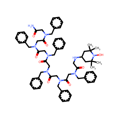 CC1(C)CC(NCC(=O)N(CC(=O)N(CC(=O)N(CC(=O)N(CC(=O)N(CC(=O)N(CC(N)=O)Cc2ccccc2)Cc2ccccc2)Cc2ccccc2)Cc2ccccc2)Cc2ccccc2)Cc2ccccc2)CC(C)(C)N1O